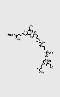 CCCCCCC[C@H](CCOC[C@H](COP(=O)(O)OCCNC(=O)NCCOP(=O)(O)OC[C@@H](COCC[C@@H](C)OC(C)=O)NC(=O)CC(C)=O)NC(=O)CC(C)=O)OC(C)=O